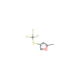 Cc1cc(SC(F)(F)F)co1